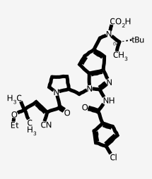 CCOC(C)(C)C=C(C#N)C(=O)N1CCCC1Cn1c(NC(=O)c2ccc(Cl)cc2)nc2cc(CN(C(=O)O)[C@@H](C)C(C)(C)C)ccc21